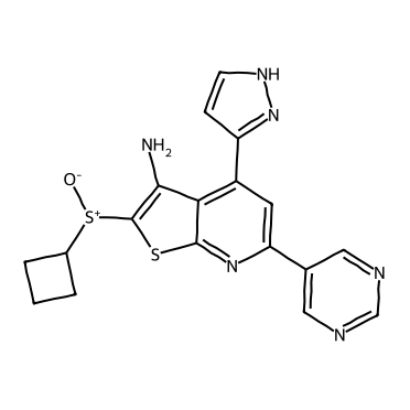 Nc1c([S+]([O-])C2CCC2)sc2nc(-c3cncnc3)cc(-c3cc[nH]n3)c12